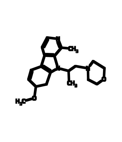 COC1C=Cc2c(n(C(C)CN3CCOCC3)c3c(C)nccc23)C1